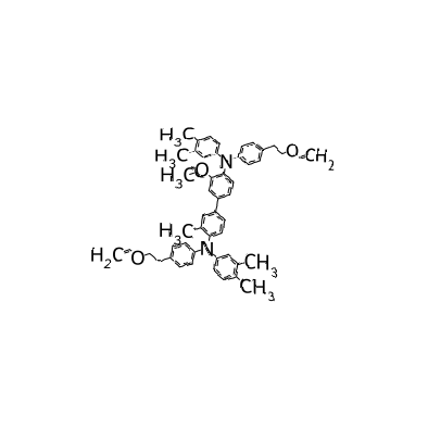 C=COCCc1ccc(N(c2ccc(C)c(C)c2)c2ccc(-c3ccc(N(c4ccc(CCOC=C)cc4)c4ccc(C)c(C)c4)c(OC)c3)cc2C)cc1